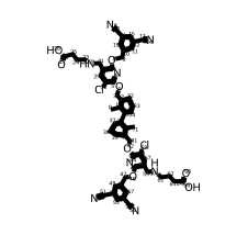 Cc1c(COc2nc(OCc3cc(C#N)cc(C#N)c3)c(CNCCCC(=O)O)cc2Cl)cccc1-c1cccc(COc2nc(OCc3cc(C#N)cc(C#N)c3)c(CNCCCC(=O)O)cc2Cl)c1C